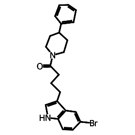 O=C(CCCc1c[nH]c2ccc(Br)cc12)N1CCC(c2ccccc2)CC1